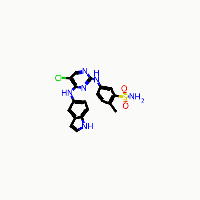 Cc1ccc(Nc2ncc(Cl)c(Nc3ccc4[nH]ccc4c3)n2)cc1S(N)(=O)=O